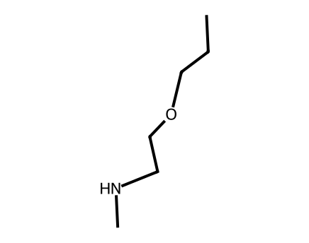 CCCOCCNC